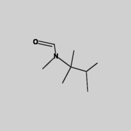 CC(C)C(C)(C)N(C)C=O